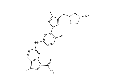 Cc1nn(-c2nc(Nc3ccc4c(c3)c(C(=O)C(F)(F)F)cn4C)ncc2Cl)cc1CN1CC(O)CO1